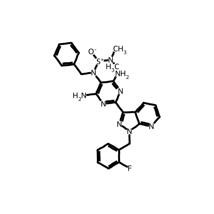 CN(C)[S+]([O-])N(Cc1ccccc1)c1c(N)nc(-c2nn(Cc3ccccc3F)c3ncccc23)nc1N